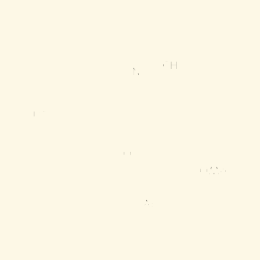 COc1cc(-c2c(CC(C)C)ccn2C)oc1C(C)=O